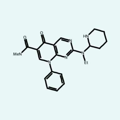 CCN(c1ncc2c(=O)c(C(=O)NC)cn(-c3ccccc3)c2n1)C1CCCCN1